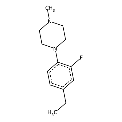 CCc1ccc(N2CCN(C)CC2)c(F)c1